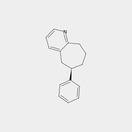 c1ccc([C@@H]2CCCc3ncccc3C2)cc1